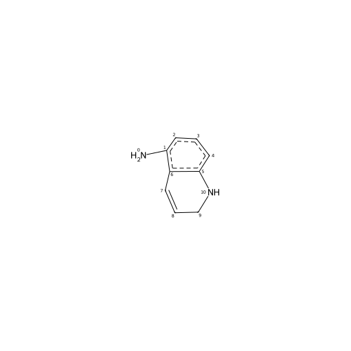 Nc1cccc2c1C=CCN2